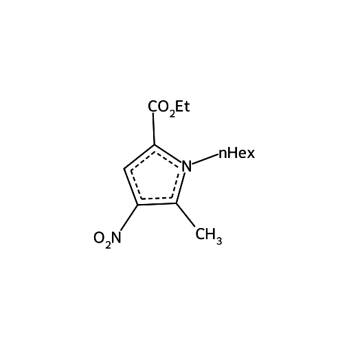 CCCCCCn1c(C(=O)OCC)cc([N+](=O)[O-])c1C